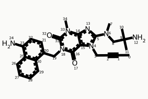 CC#CCn1c(N(C)CC(C)(C)N)nc2c1c(=O)n(Cc1ccc(N)c3ccccc13)c(=O)n2C